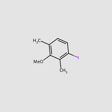 COc1c(C)ccc(I)c1C